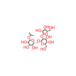 CC(C)O[C@@H]1O[C@H](CO[C@@H]2O[C@H](CO)[C@@H](O)[C@H](O)[C@H]2O[C@@H]2O[C@H](CO)[C@H](O)[C@H]2O)[C@H](O)[C@H](O)[C@H]1O